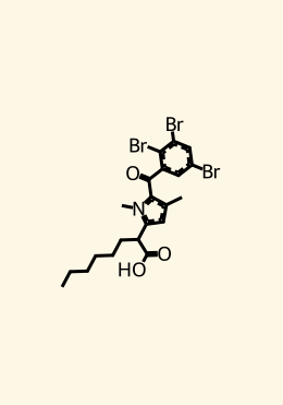 CCCCCCC(C(=O)O)c1cc(C)c(C(=O)c2cc(Br)cc(Br)c2Br)n1C